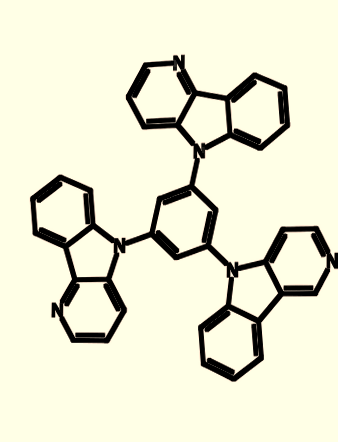 c1ccc2c(c1)c1cnccc1n2-c1cc(-n2c3ccccc3c3ncccc32)cc(-n2c3ccccc3c3ncccc32)c1